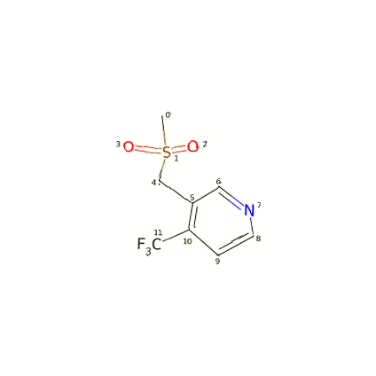 CS(=O)(=O)[CH]c1cnccc1C(F)(F)F